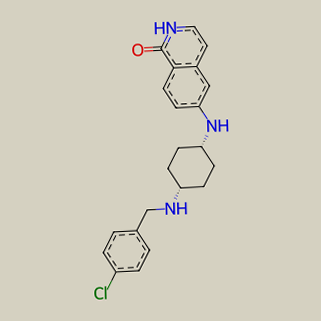 O=c1[nH]ccc2cc(N[C@H]3CC[C@@H](NCc4ccc(Cl)cc4)CC3)ccc12